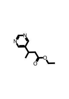 CCOC(=O)CC(C)c1cncnc1